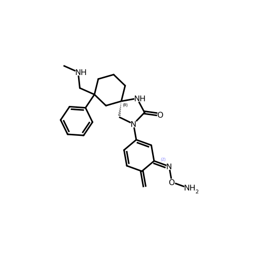 C=C1C=CC(N2C[C@]3(CCCC(CNC)(c4ccccc4)C3)NC2=O)=C/C1=N/ON